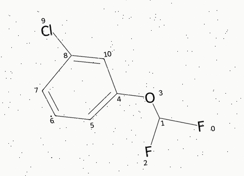 FC(F)Oc1c[c]cc(Cl)c1